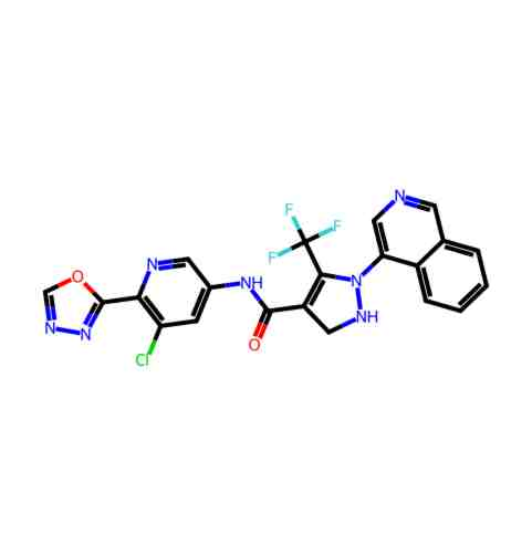 O=C(Nc1cnc(-c2nnco2)c(Cl)c1)C1=C(C(F)(F)F)N(c2cncc3ccccc23)NC1